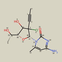 CC#CC1(Cl)C(O)[C@@H]([C@H](C)O)O[C@H]1n1c(C)cc(N)nc1=O